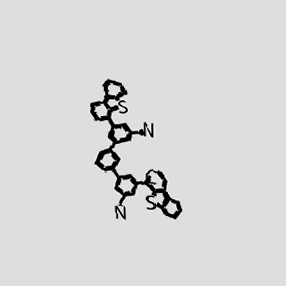 N#Cc1cc(-c2cccc(-c3cc(C#N)cc(-c4cccc5c4sc4ccccc45)c3)c2)cc(-c2cccc3c2sc2ccccc23)c1